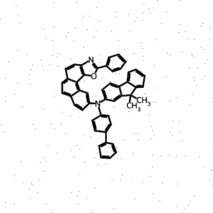 CC1(C)c2ccccc2-c2ccc(N(c3ccc(-c4ccccc4)cc3)c3ccc4ccc5ccc6nc(-c7ccccc7)oc6c5c4c3)cc21